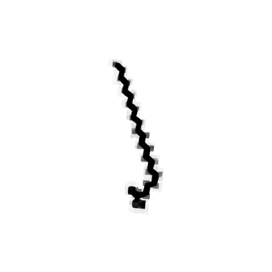 CCCCCCCCCCC/C=C/C=C/C=C/C=C\C=C\C(=O)O